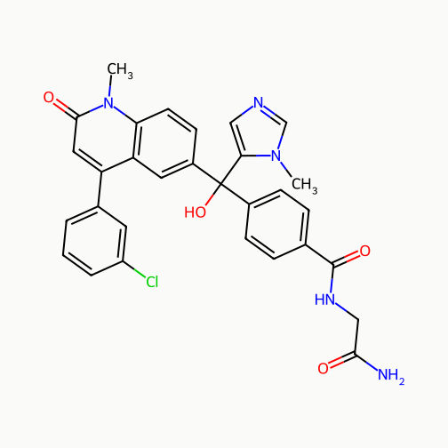 Cn1cncc1C(O)(c1ccc(C(=O)NCC(N)=O)cc1)c1ccc2c(c1)c(-c1cccc(Cl)c1)cc(=O)n2C